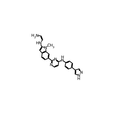 Cn1c(N/C=C\N)cc2ccc(-c3nccc(Nc4ccc(-c5cn[nH]c5)cc4)n3)cc21